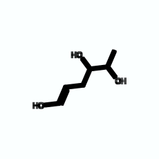 CC(O)C(O)CC=CO